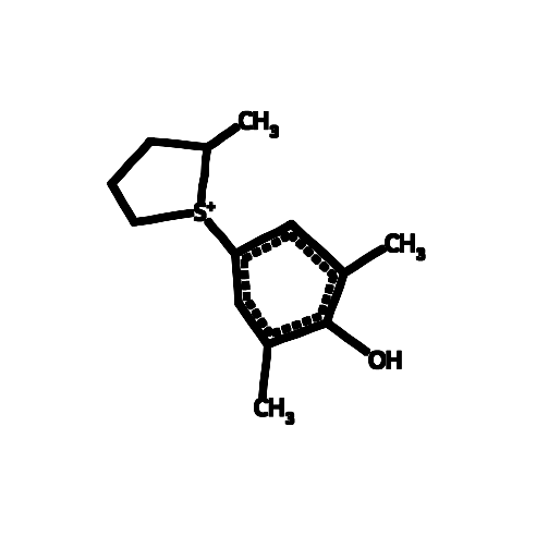 Cc1cc([S+]2CCCC2C)cc(C)c1O